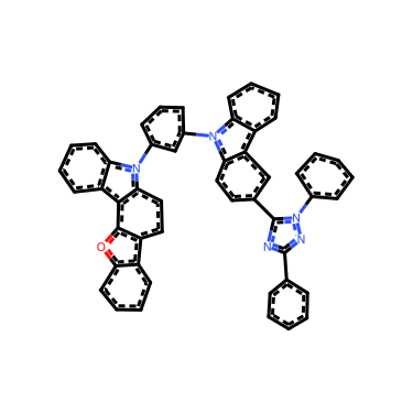 c1ccc(-c2nc(-c3ccc4c(c3)c3ccccc3n4-c3cccc(-n4c5ccccc5c5c6oc7ccccc7c6ccc54)c3)n(-c3ccccc3)n2)cc1